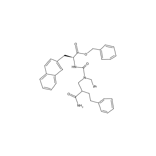 CC(C)CN(CC(CCc1ccccc1)C(N)=O)C(=O)N[C@@H](Cc1ccc2ccccc2c1)C(=O)OCc1ccccc1